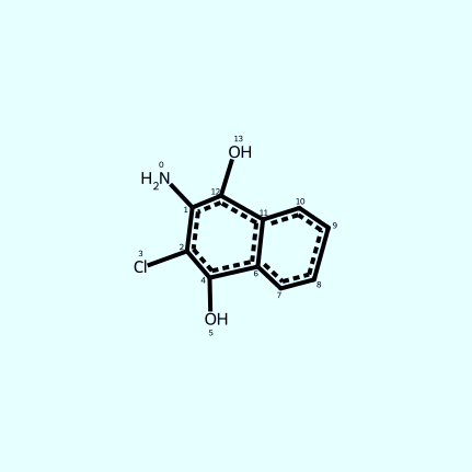 Nc1c(Cl)c(O)c2ccccc2c1O